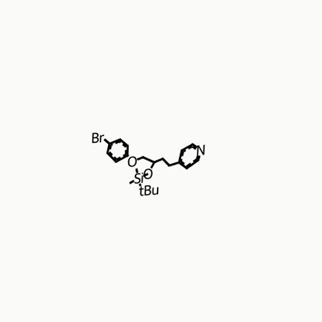 CC(C)(C)[Si](C)(C)OC(CCc1ccncc1)COc1ccc(Br)cc1